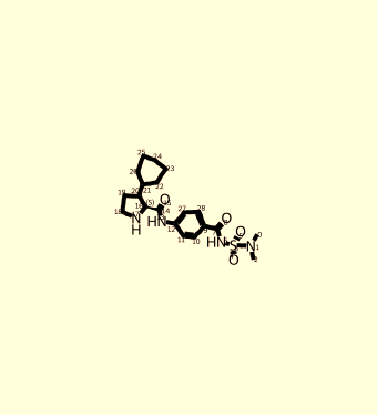 CN(C)S(=O)(=O)NC(=O)c1ccc(NC(=O)[C@H]2NCCC2C2CCCCC2)cc1